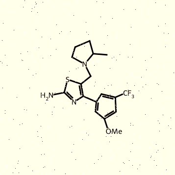 COc1cc(-c2nc(N)sc2CN2CCCC2C)cc(C(F)(F)F)c1